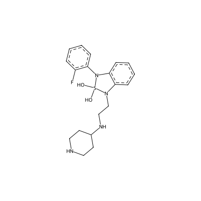 OS1(O)N(CCNC2CCNCC2)c2ccccc2N1c1ccccc1F